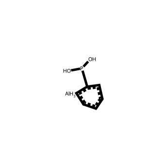 OP(O)c1ccccc1.[AlH3]